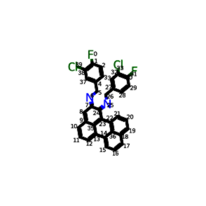 Fc1ccc(CN=c2cc3cccc4c5cccc6cccc(c(c2=NCc2ccc(F)c(Cl)c2)c34)c65)cc1Cl